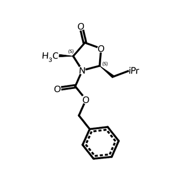 CC(C)C[C@@H]1OC(=O)[C@H](C)N1C(=O)OCc1ccccc1